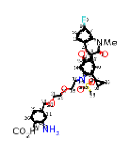 CNC(=O)c1c(-c2ccc(F)cc2)oc2cc(N(CCOCCOCc3ccc(C(=O)O)c(N)c3)S(C)(=O)=O)c(C3CC3)cc12